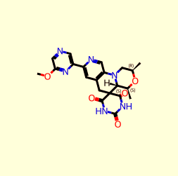 COc1cncc(-c2cc3c(cn2)N2C[C@@H](C)O[C@@H](C)[C@@H]2C2(C3)C(=O)NC(=O)NC2=O)n1